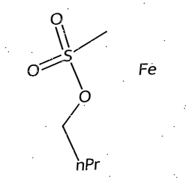 CCCCOS(C)(=O)=O.[Fe]